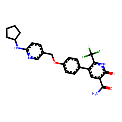 NC(=O)c1cc(-c2ccc(OCc3ccc(NC4CCCC4)nc3)cc2)c(C(F)(F)F)[nH]c1=O